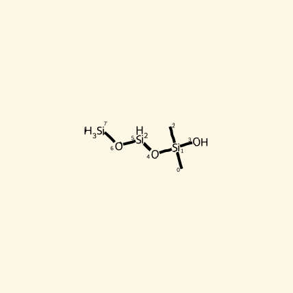 C[Si](C)(O)O[SiH2]O[SiH3]